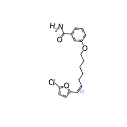 NC(=O)c1cccc(OCCCCC/C=C\c2ccc(Cl)o2)c1